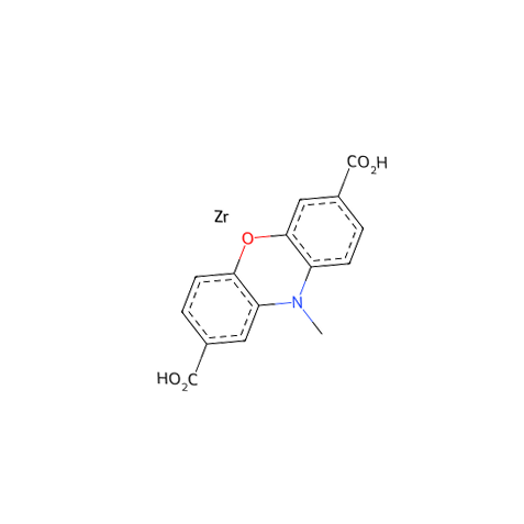 CN1c2ccc(C(=O)O)cc2Oc2ccc(C(=O)O)cc21.[Zr]